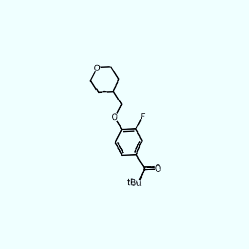 CC(C)(C)C(=O)c1ccc(OCC2CCOCC2)c(F)c1